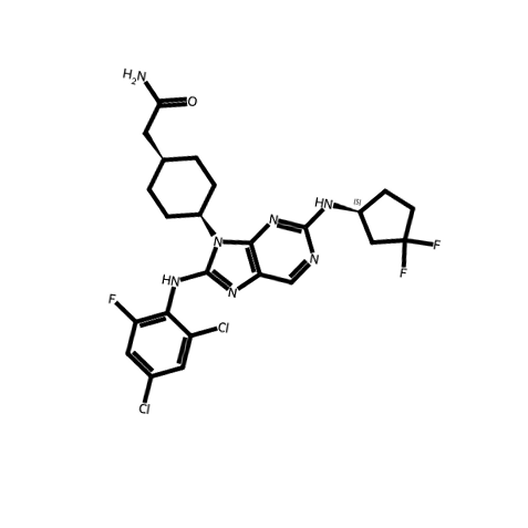 NC(=O)C[C@H]1CC[C@@H](n2c(Nc3c(F)cc(Cl)cc3Cl)nc3cnc(N[C@H]4CCC(F)(F)C4)nc32)CC1